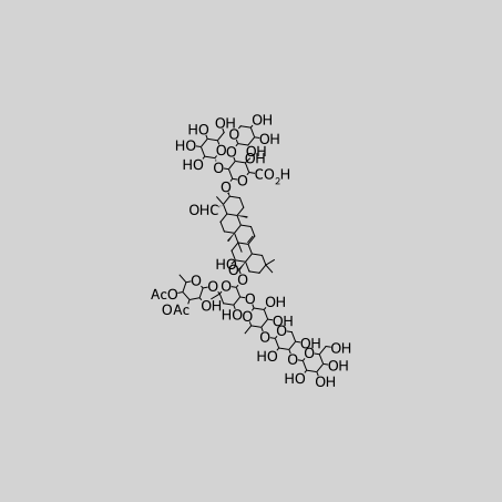 CC(=O)OC1C(C)OC(OC2(C)CC(O)C(OC3OC(C)C(OC4OCC(O)C(OC5OC(CO)C(O)C(O)C5O)C4O)C(O)C3O)C(OC(=O)[C@]34CCC(C)(C)CC3C3=CCC5[C@@]6(C)CC[C@H](OC7OC(C(=O)O)C(O)C(OC8OCC(O)C(O)C8O)C7O[C@H]7OC(CO)C(O)C(O)C7O)[C@@](C)(C=O)C6CC[C@@]5(C)C3(C)CC4O)O2)C(O)C1OC(C)=O